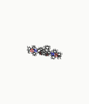 CCc1cccc2c1oc1c(N(c3ccccc3)c3ccc4c5c(ccc4c3)-c3c(c4ccc(N(c6ccccc6)c6cccc7c6oc6c(CC)cccc67)cc4c4ccccc34)C53c4ccccc4-c4ccccc43)cccc12